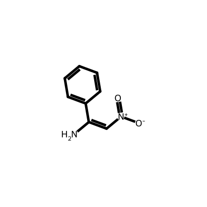 N/C(=C/[N+](=O)[O-])c1ccccc1